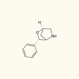 c1ccc([C@@H]2O[C@H]3CNC2C3)cc1